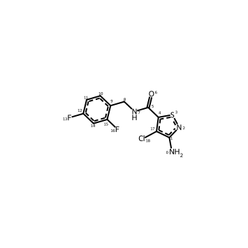 Nc1nsc(C(=O)NCc2ccc(F)cc2F)c1Cl